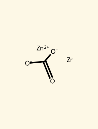 O=C([O-])[O-].[Zn+2].[Zr]